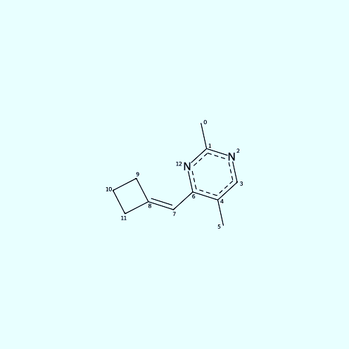 Cc1ncc(C)c(C=C2CCC2)n1